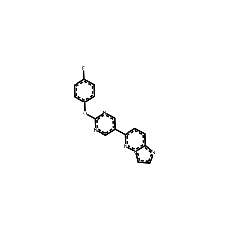 Fc1ccc(Oc2ncc(-c3ccc4nccn4n3)cn2)cc1